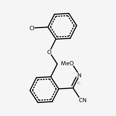 CO/N=C(/C#N)c1ccccc1COc1ccccc1Cl